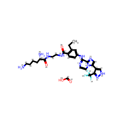 CCc1cc(Nc2nccn3c(-c4c[nH]nc4C(F)(F)F)cnc23)ccc1C(=O)NCCNC(=O)[C@@H](N)CCCCN.O=CO